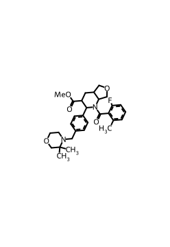 COC(=O)C1CC2COCC2N(C(=O)c2c(C)cccc2F)C1c1ccc(CN2CCOCC2(C)C)cc1